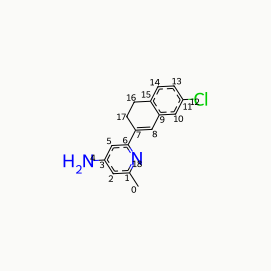 Cc1cc(N)cc(C2=Cc3cc(Cl)ccc3CC2)n1